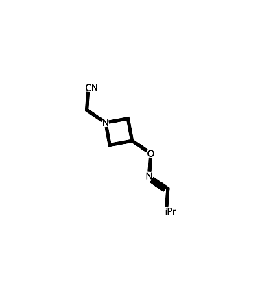 CC(C)/C=N/OC1CN(CC#N)C1